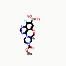 CC(C)(C)OC(=O)N1CCN2c3ncnc4c(F)c(B(O)O)cc(c34)OC[C@@H]2C1